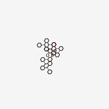 c1ccc(-c2c3ccccc3c(-c3ccccc3-c3cccc4c3Oc3ccc(-c5ccccc5-c5c6ccccc6c(-c6ccccc6)c6ccccc56)c5c3B4c3cccc(-c4ccccc4-c4c6ccccc6c(-c6ccccc6)c6ccccc46)c3O5)c3ccccc23)cc1